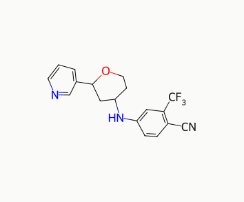 N#Cc1ccc(NC2CCOC(c3cccnc3)C2)cc1C(F)(F)F